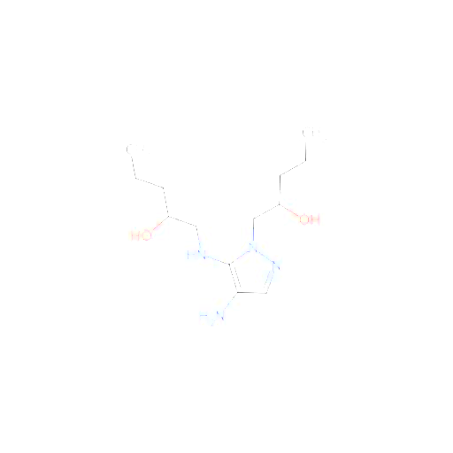 CCCC(O)CNc1c(N)cnn1CC(O)CCC